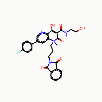 C[N+]1(CCCN2C(=O)c3ccccc3C2=O)C(=O)C(C(=O)NCCO)=C(O)c2ncc(-c3ccc(F)cc3)cc21